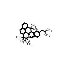 CO[C@@]1(C)[n+]2cc3ccc(CC(C)C)cc3c3c2-c2c(ccc4cccc(c24)C3(C)C)C1(C)C